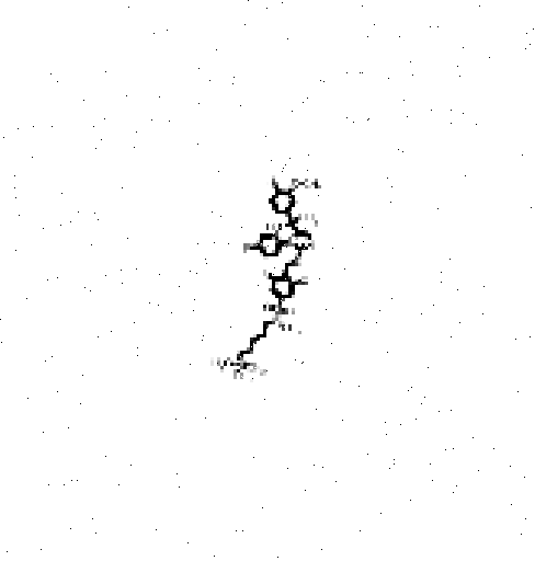 COc1cc(C(C)(C)c2cnc(SCc3c(F)cc(S(=O)(=O)N(C)CCCCC[N+](C)(C)C)cc3Cl)n2-c2ccc(F)cc2)ccc1Cl